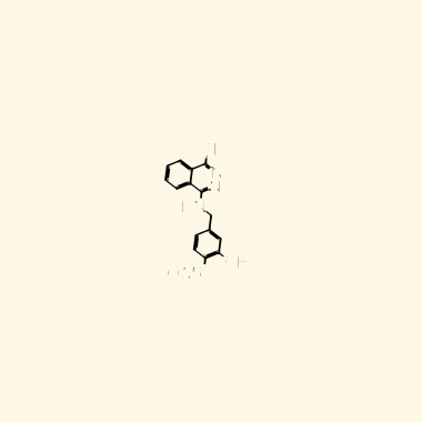 COc1ccc(CNc2nnc(Cl)c3ccccc23)cc1C